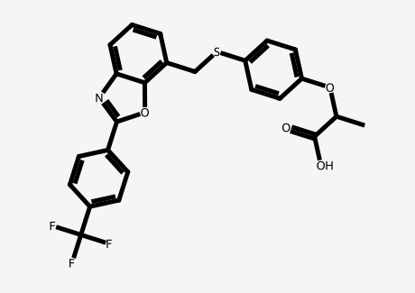 CC(Oc1ccc(SCc2cccc3nc(-c4ccc(C(F)(F)F)cc4)oc23)cc1)C(=O)O